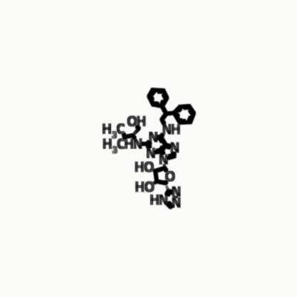 CC(C)[C@@H](CO)Nc1nc(NCC(c2ccccc2)c2ccccc2)c2ncn([C@@H]3O[C@H](c4nnc[nH]4)[C@@H](O)[C@H]3O)c2n1